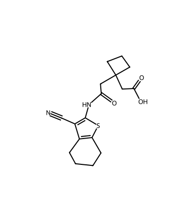 N#Cc1c(NC(=O)CC2(CC(=O)O)CCC2)sc2c1CCCC2